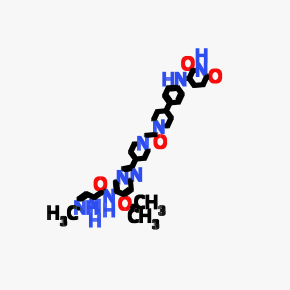 CN/C=C\C(=N)C(=O)Nc1cn2cc(C3CCN(CC(=O)N4CCC(c5ccc(NC6CCC(=O)NC6=O)cc5)CC4)CC3)nc2cc1OC(C)C